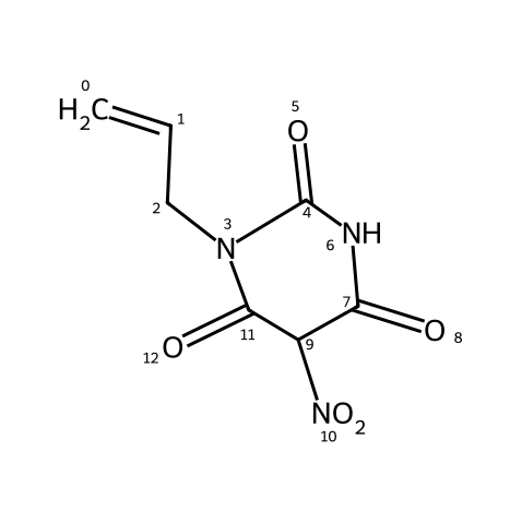 C=CCN1C(=O)NC(=O)C([N+](=O)[O-])C1=O